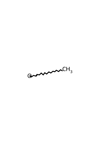 CCCCCCCCCCCCCCC=CCC=O